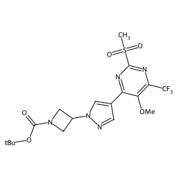 COc1c(-c2cnn(C3CN(C(=O)OC(C)(C)C)C3)c2)nc(S(C)(=O)=O)nc1C(F)(F)F